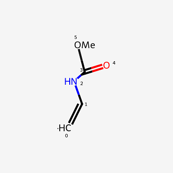 [CH]=CNC(=O)OC